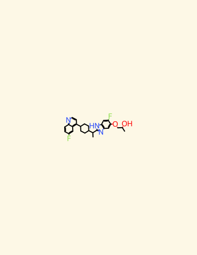 CC(O)COc1cc2nc(C(C)C3CCC(c4ccnc5ccc(F)cc45)CC3)[nH]c2cc1F